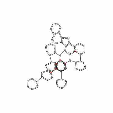 c1ccc(-c2ccc(-c3ccc(N(c4ccccc4-c4ccccc4)c4ccc5oc6c7ccccc7ccc6c5c4N(c4ccc(-c5ccccc5)cc4)c4ccccc4-c4ccccc4)cc3)cc2)cc1